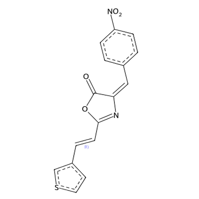 O=C1OC(/C=C/c2ccsc2)=NC1=Cc1ccc([N+](=O)[O-])cc1